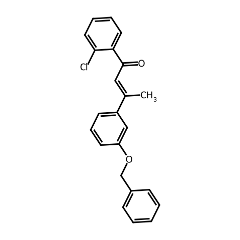 C/C(=C\C(=O)c1ccccc1Cl)c1cccc(OCc2ccccc2)c1